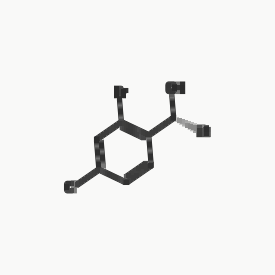 CC[C@@H](O)c1ccc(Cl)cc1Br